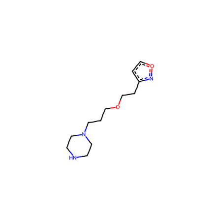 c1cc(CCOCCCN2CCNCC2)no1